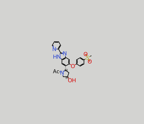 CC(=O)N1C[C@H](O)C[C@H]1c1cc2[nH]c(-c3ccccn3)nc2cc1Oc1ccc(S(C)(=O)=O)cc1